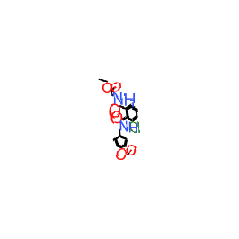 CCOC(=O)CNC(=O)c1cccc(Cl)c1C(=O)NCc1ccc2c(c1)OCO2